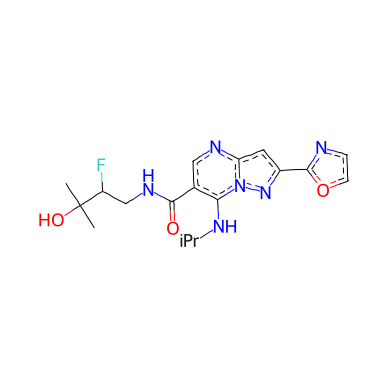 CC(C)Nc1c(C(=O)NCC(F)C(C)(C)O)cnc2cc(-c3ncco3)nn12